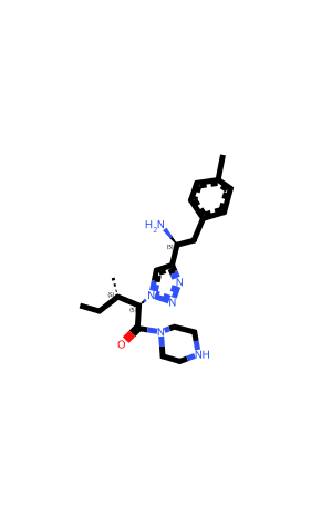 CC[C@H](C)[C@@H](C(=O)N1CCNCC1)n1cc([C@@H](N)Cc2ccc(C)cc2)nn1